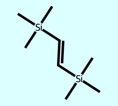 C[Si](C)(C)C=C[Si](C)(C)C